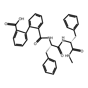 CNC(=O)[C@@H](Cc1ccccc1)NC(=O)[C@H](Cc1ccccc1)NC(=O)c1ccccc1-c1ccccc1C(=O)O